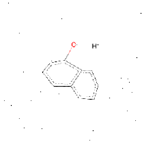 [H+].[O]c1cccc2ccccc12